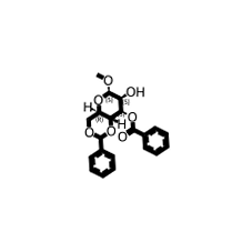 CO[C@H]1O[C@@H]2COC(c3ccccc3)O[C@H]2[C@@H](OC(=O)c2ccccc2)[C@@H]1O